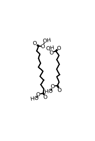 O=C(CCCCCCCC(=O)OO)OO.O=C(CCCCCCCCCCC(=O)OO)OO